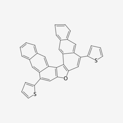 c1csc(-c2cc3oc4cc(-c5cccs5)c5cc6ccccc6cc5c4c3c3cc4ccccc4cc23)c1